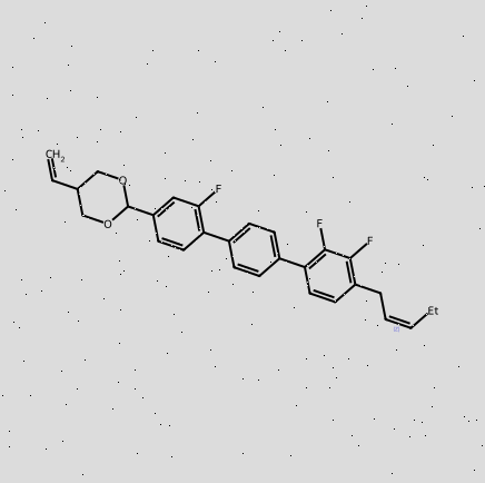 C=CC1COC(c2ccc(-c3ccc(-c4ccc(C/C=C\CC)c(F)c4F)cc3)c(F)c2)OC1